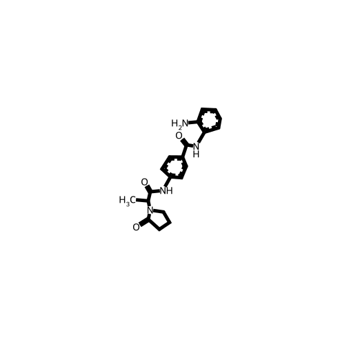 CC(C(=O)Nc1ccc(C(=O)Nc2ccccc2N)cc1)N1CCCC1=O